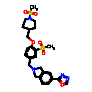 CS(=O)(=O)c1cc(CN2Cc3ccc(-c4nnco4)cc3C2)ccc1OCC1CCN(S(C)(=O)=O)CC1